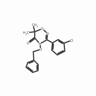 CC1(C)ON=C(c2cccc(Cl)c2)N(OCc2ccccc2)C1=O